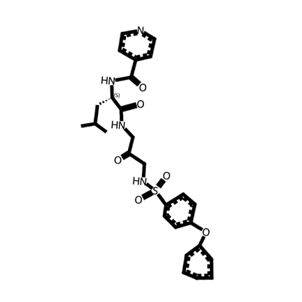 CC(C)C[C@H](NC(=O)c1ccncc1)C(=O)NCC(=O)CNS(=O)(=O)c1ccc(Oc2ccccc2)cc1